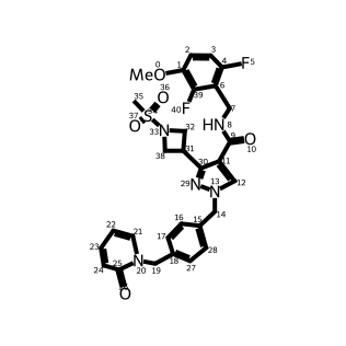 COc1ccc(F)c(CNC(=O)c2cn(Cc3ccc(Cn4ccccc4=O)cc3)nc2C2CN(S(C)(=O)=O)C2)c1F